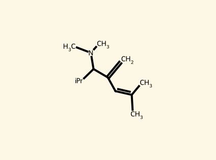 C=C(C=C(C)C)C(C(C)C)N(C)C